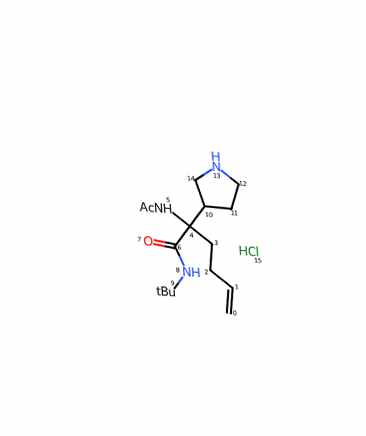 C=CCCC(NC(C)=O)(C(=O)NC(C)(C)C)C1CCNC1.Cl